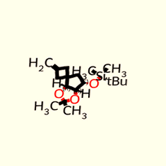 C=C1CC2(C1)C[C@H](O[Si](C)(C)C(C)(C)C)[C@@H]1OC(C)(C)O[C@@H]12